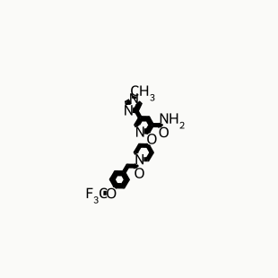 Cn1cnc(-c2cnc(OC3CCN(C(=O)Cc4ccc(OC(F)(F)F)cc4)CC3)c(C(N)=O)c2)c1